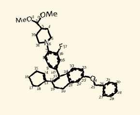 COC(OC)C1CCN(c2ccc(C3=C(C4=CCCCC4)CCc4cc(OCc5ccccc5)ccc43)cc2F)CC1